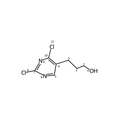 OCCCc1cnc(Cl)nc1Cl